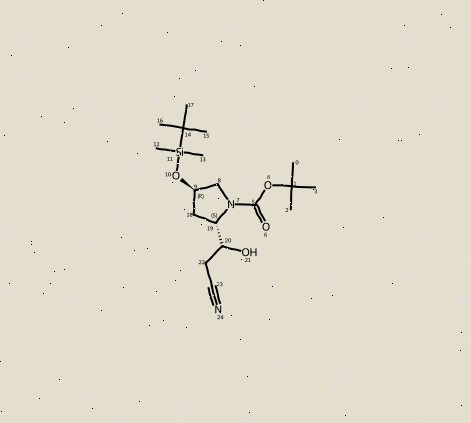 CC(C)(C)OC(=O)N1C[C@H](O[Si](C)(C)C(C)(C)C)C[C@H]1C(O)CC#N